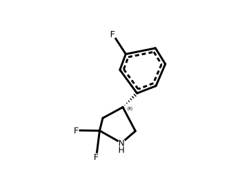 Fc1cccc([C@@H]2CNC(F)(F)C2)c1